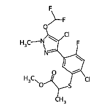 COC(=O)C(C)Sc1cc(-c2nn(C)c(OC(F)F)c2Cl)c(F)cc1Cl